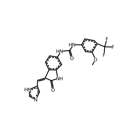 COc1cc(NC(=O)Nc2ccc3c(c2)NC(=O)C3=Cc2cnc[nH]2)ccc1C(F)(F)F